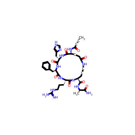 CCCC(=O)N[C@H]1CCC(=O)NCCC[C@@H](C(=O)N[C@@H](C)C(N)=O)NC(=O)[C@H](CCCNC(=N)N)NC(=O)[C@@H](Cc2ccccc2)NC(=O)[C@H](Cc2c[nH]cn2)NC1=O